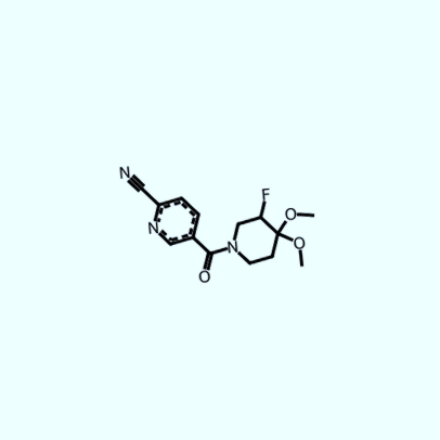 COC1(OC)CCN(C(=O)c2ccc(C#N)nc2)CC1F